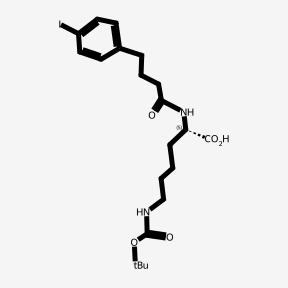 CC(C)(C)OC(=O)NCCCC[C@H](NC(=O)CCCc1ccc(I)cc1)C(=O)O